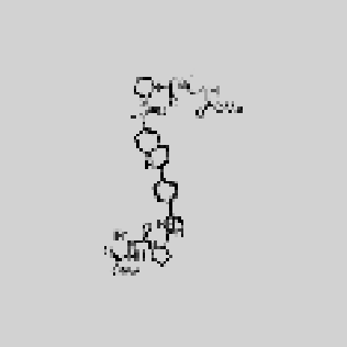 COC(=O)NC[C@@H](C)CC(=O)N1CCC[C@H]1C(=O)Nc1ccc2nc(-c3ccc(-c4cnc(C5CCCN5C(=O)[C@@H](NC(=O)OC)C(C)C)[nH]4)cc3)ccc2c1